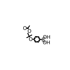 CC(=O)OCC(C)(C)Oc1ccc(B(O)O)cc1